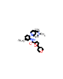 COc1ccc(N2CCC(C)(CN(C)C)CC2)c(NC(=O)c2ccc(C3CCOCC3)o2)c1